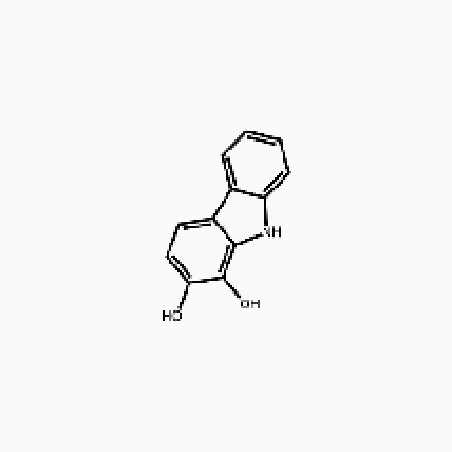 Oc1ccc2c([nH]c3ccccc32)c1O